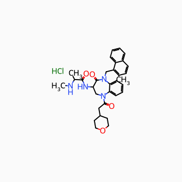 CNC(C)C(=O)NC1CN(C(=O)CC2CCOCC2)c2ccccc2N(Cc2c(C)ccc3ccccc23)C1=O.Cl